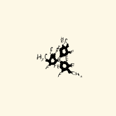 CCc1c(F)c(F)c(B(c2c(F)c(F)c(CC)c(F)c2F)c2c(F)c(F)c(CC)c(F)c2F)c(F)c1F